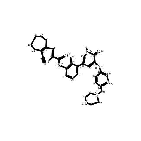 C#CC1=C(/C=C(\C)C(=O)Nc2cccc(-c3cc(Nc4ccc(CN5CCOCC5)nn4)c(=O)n(C)c3)c2C)CCCCC1